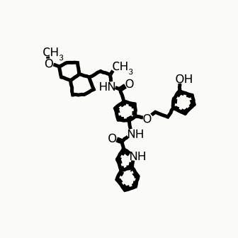 COC1CCC2C(CC(C)NC(=O)c3ccc(NC(=O)c4cc5ccccc5[nH]4)c(OCCc4cccc(O)c4)c3)CCCC2C1